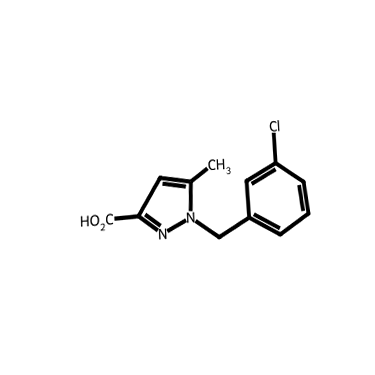 Cc1cc(C(=O)O)nn1Cc1cccc(Cl)c1